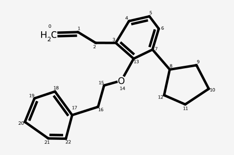 C=CCc1cccc(C2CCCC2)c1OCCc1ccccc1